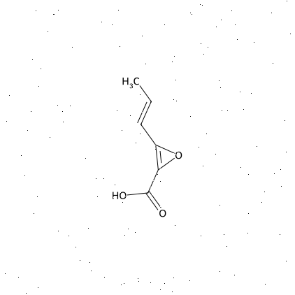 CC=CC1=C(C(=O)O)O1